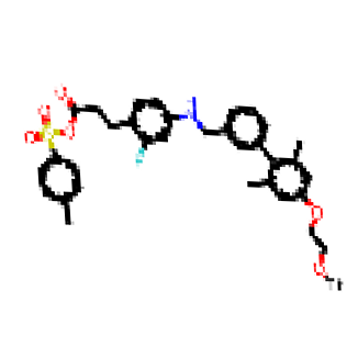 CCOCCOc1cc(C)c(-c2cccc(CNc3ccc(CCC(=O)OS(=O)(=O)c4ccc(C)cc4)c(F)c3)c2)c(C)c1